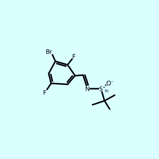 CC(C)(C)[S@+]([O-])N=Cc1cc(F)cc(Br)c1F